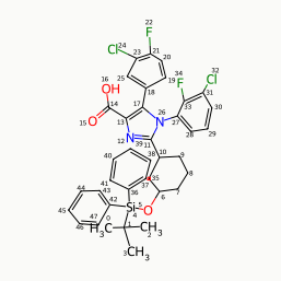 CC(C)(C)[Si](OC1CCCC(c2nc(C(=O)O)c(-c3ccc(F)c(Cl)c3)n2-c2cccc(Cl)c2F)C1)(c1ccccc1)c1ccccc1